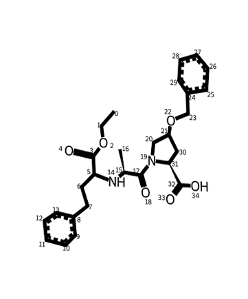 CCOC(=O)C(CCc1ccccc1)N[C@@H](C)C(=O)N1CC(OCc2ccccc2)C[C@H]1C(=O)O